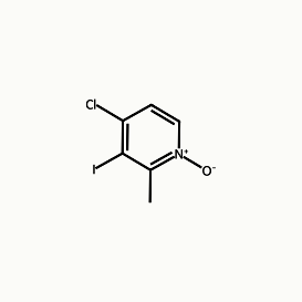 Cc1c(I)c(Cl)cc[n+]1[O-]